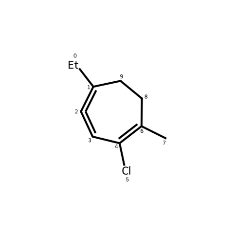 CCC1=C=CC(Cl)=C(C)CC1